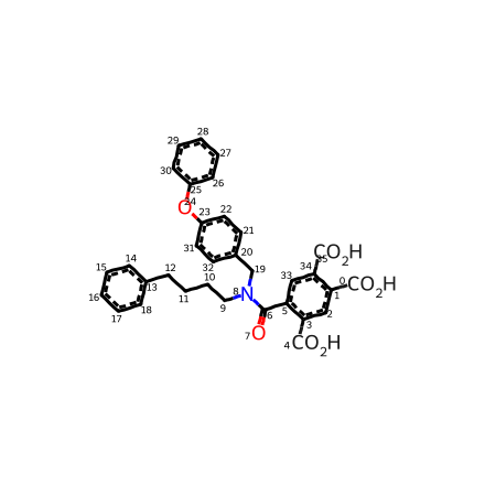 O=C(O)c1cc(C(=O)O)c(C(=O)N(CCCCc2ccccc2)Cc2ccc(Oc3ccccc3)cc2)cc1C(=O)O